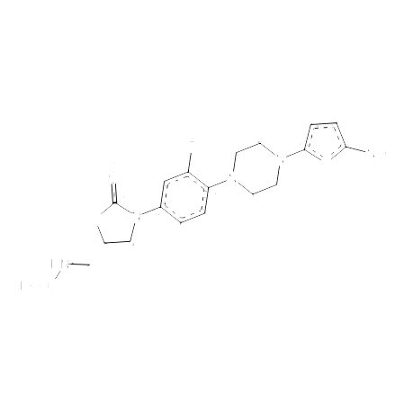 O=C(O)NC[C@H]1CN(c2ccc(N3CCN(c4ccc([N+](=O)[O-])s4)CC3)c(F)c2)C(=O)O1